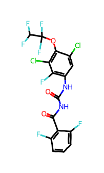 O=C(NC(=O)c1c(F)cccc1F)Nc1cc(Cl)c(OC(F)(F)C(F)F)c(Cl)c1F